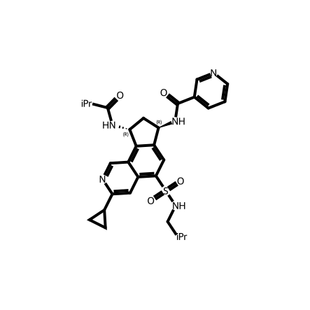 CC(C)CNS(=O)(=O)c1cc2c(c3cnc(C4CC4)cc13)[C@H](NC(=O)C(C)C)C[C@H]2NC(=O)c1cccnc1